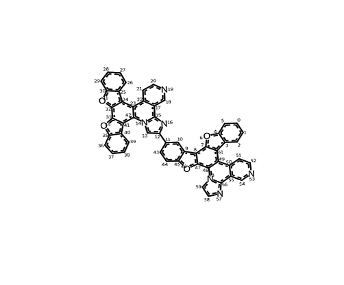 c1ccc2c(c1)oc1c3c4cc(-c5cn6c(n5)c5cnccc5c5c7c8ccccc8oc7c7oc8ccccc8c7c56)ccc4oc3c3c(c4ccncc4c4nccn43)c21